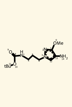 COc1nn(CCCNC(=O)OC(C)(C)C)cc1N